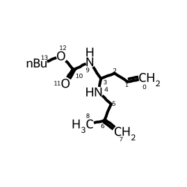 C=CCC(NCC(=C)C)NC(=O)OCCCC